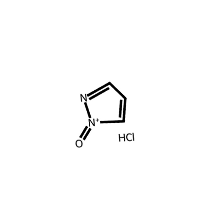 Cl.O=[N+]1C=CC=N1